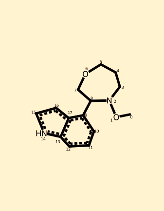 CON1CCCOCC1c1cccc2[nH]ccc12